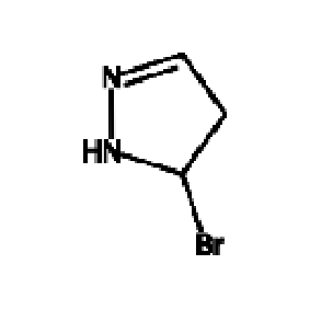 BrC1CC=NN1